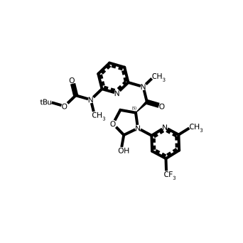 Cc1cc(C(F)(F)F)cc(N2C(O)OC[C@H]2C(=O)N(C)c2cccc(N(C)C(=O)OC(C)(C)C)n2)n1